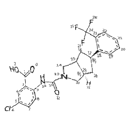 O=C(O)c1cc(Cl)ccc1NC(=O)N1CC2C[C@@H](c3ccccc3C(F)(F)F)C[C@H]2C1